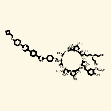 C[C@@H](O)[C@@H]1NC(=O)[C@@H](NC[C@H]2CC[C@H](c3nnc(-c4ccc(-c5cnc(N6CCC(OCC7CCC7)CC6)nc5)cc4)s3)CC2)C[C@@H](O)CNC(=O)[C@@H]2[C@@H](O)[C@@H](C)CN2C(=O)[C@H]([C@H](O)CCN(CCO)CCO)NC(=O)[C@H]([C@H](O)Cc2ccc(O)c(OS(=O)(=O)O)c2)NC(=O)[C@@H]2C[C@@H](O)CN2C1=O